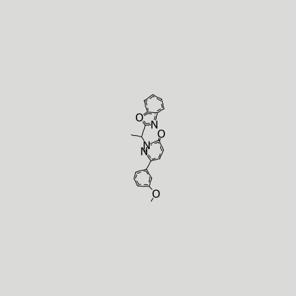 COc1cccc(-c2ccc(=O)n(C(C)c3nc4ccccc4o3)n2)c1